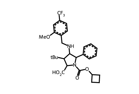 COc1cc(C(F)(F)F)ccc1CNC1C(c2ccccc2)N(C(=O)OC2CCC2)C(C(=O)O)C1C(C)(C)C